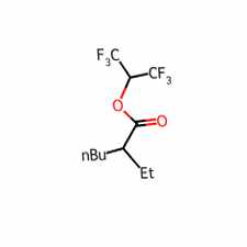 CCCCC(CC)C(=O)OC(C(F)(F)F)C(F)(F)F